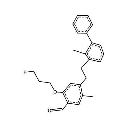 Cc1cc(C=O)c(OCCCF)cc1CCc1cccc(-c2ccccc2)c1C